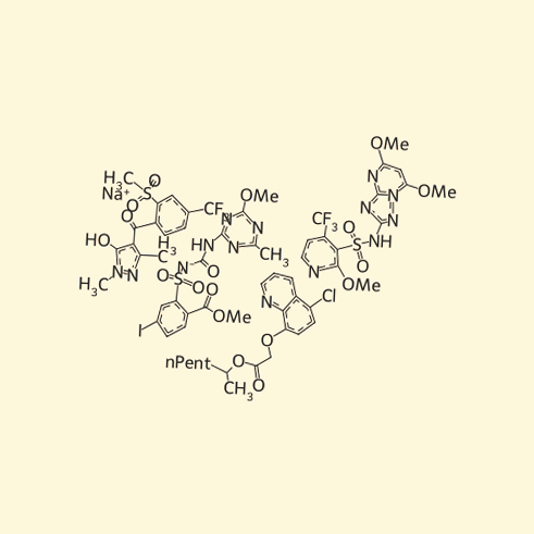 CCCCCC(C)OC(=O)COc1ccc(Cl)c2cccnc12.COC(=O)c1ccc(I)cc1S(=O)(=O)[N-]C(=O)Nc1nc(C)nc(OC)n1.COc1cc(OC)n2nc(NS(=O)(=O)c3c(C(F)(F)F)ccnc3OC)nc2n1.Cc1nn(C)c(O)c1C(=O)c1ccc(C(F)(F)F)cc1S(C)(=O)=O.[Na+]